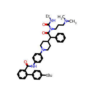 CCNC(=O)N(CCCN(C)C)C(=O)C(c1ccccc1)C1CCN(c2ccc(NC(=O)c3ccccc3-c3ccc(C(C)(C)C)cc3)cc2)CC1